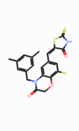 Cc1cc(C)cc(CN2C(=O)COc3c(F)cc(/C=C4/SC(=S)NC4=O)cc32)c1